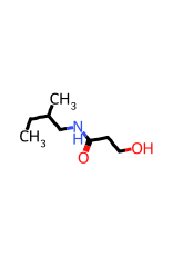 CCC(C)CNC(=O)CCO